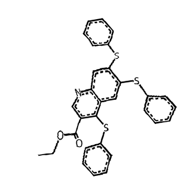 CCOC(=O)c1cnc2cc(Sc3ccccc3)c(Sc3ccccc3)cc2c1Sc1ccccc1